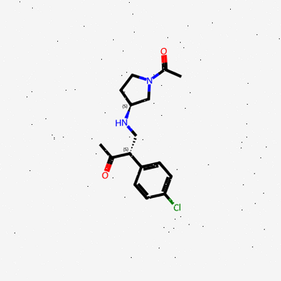 CC(=O)[C@H](CN[C@H]1CCN(C(C)=O)C1)c1ccc(Cl)cc1